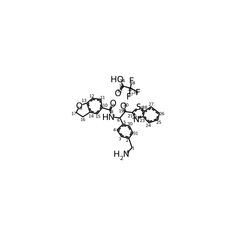 NCc1ccc(C(NC(=O)c2ccc3c(c2)CCO3)C(=O)c2nc3ccccc3s2)cc1.O=C(O)C(F)(F)F